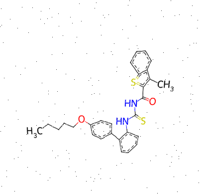 CCCCCOc1ccc(-c2ccccc2NC(=S)NC(=O)c2sc3ccccc3c2C)cc1